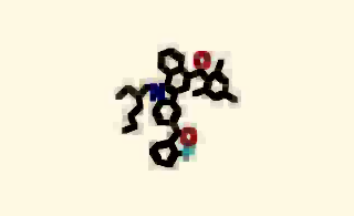 CCCCC(CC)Cn1c2c(c3cc(C(=O)c4ccccc4F)ccc31)C=C(C(=O)c1c(C)cc(C)cc1C)C1C=CC=CC21